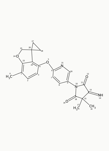 Cc1ccc(Oc2ccc(N3C(=O)C(=N)C(C)(C)C3=O)cn2)c2c1OCC21CC1